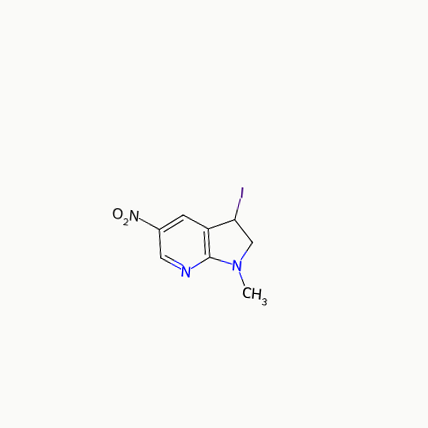 CN1CC(I)c2cc([N+](=O)[O-])cnc21